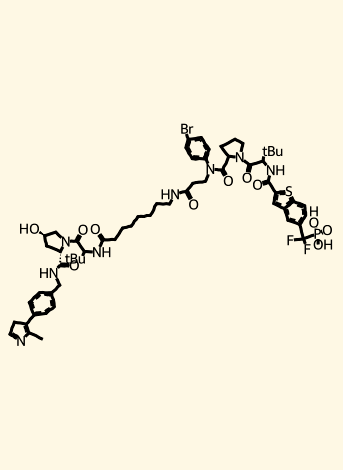 CC1=C(c2ccc(CNC(=O)[C@@H]3C[C@@H](O)CN3C(=O)C(NC(=O)CCCCCCCNC(=O)CCN(C(=O)C3CCCN3C(=O)C(NC(=O)c3cc4cc(C(F)(F)P(=O)(O)O)ccc4s3)C(C)(C)C)c3ccc(Br)cc3)C(C)(C)C)cc2)CC=N1